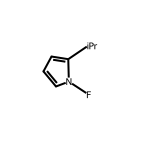 CC(C)c1cccn1F